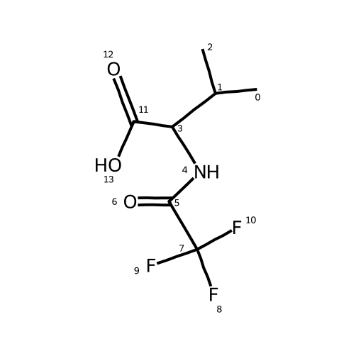 CC(C)C(NC(=O)C(F)(F)F)C(=O)O